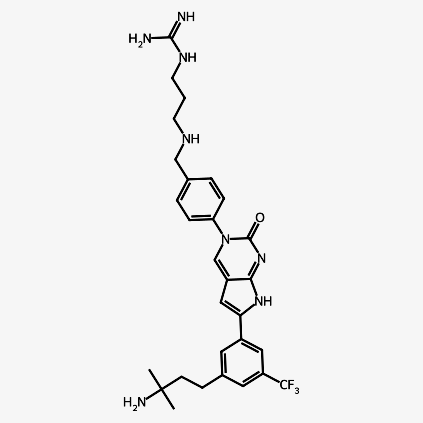 CC(C)(N)CCc1cc(-c2cc3cn(-c4ccc(CNCCCNC(=N)N)cc4)c(=O)nc3[nH]2)cc(C(F)(F)F)c1